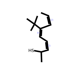 C\C=C/C(=C\C=C/C(C)S)C(C)(C)C